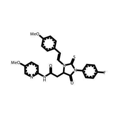 COc1ccc(C=CN2C(=S)N(c3ccc(F)cc3)C(=O)C2CC(=O)Nc2ccc(OC)cn2)cc1